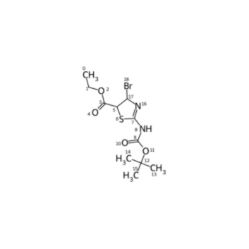 CCOC(=O)C1SC(NC(=O)OC(C)(C)C)=NC1Br